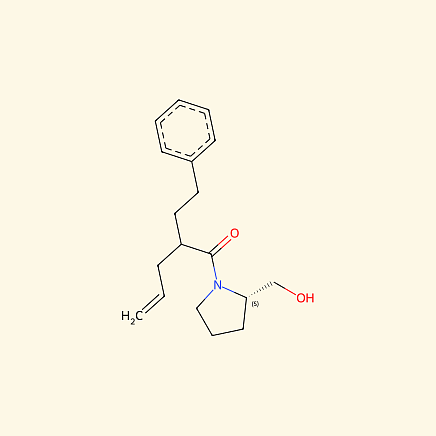 C=CCC(CCc1ccccc1)C(=O)N1CCC[C@H]1CO